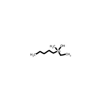 CCCC[CH2][Sn]([CH3])([OH])[CH2]C